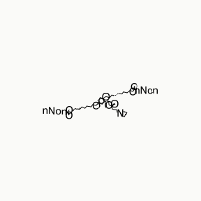 CCCCCCCCCC(=O)OCCCCCCCCOc1ccc(OCCCCCCCCOC(=O)CCCCCCCCC)c(COC(=O)CCCN2CCCC2)c1